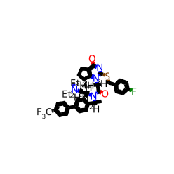 [2H]C(C)(c1ccc(-c2ccc(C(F)(F)F)cc2)cc1)N(C(=O)C([2H])([2H])n1c(SCc2ccc(F)cc2)nc(=O)c2c1CCC2)C([2H])([2H])C([2H])([2H])N(CC)CC